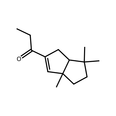 CCC(=O)C1=CC2(C)CCC(C)(C)C2C1